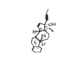 CC#C[C@]1(O)C=C[C@H]2[C@@H]3CCC4=CCCC[C@@H]4[C@H]3CC[C@@]21CC